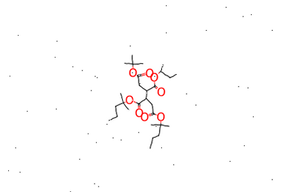 CCCC(C)(C)OC(=O)CC(C(=O)OC(C)(C)CCC)C(CC(=O)OC(C)(C)C)C(=O)OC(C)CC